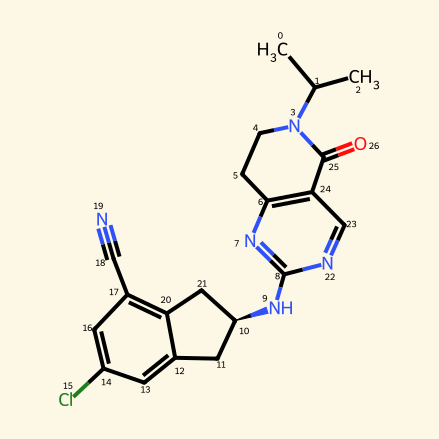 CC(C)N1CCc2nc(N[C@H]3Cc4cc(Cl)cc(C#N)c4C3)ncc2C1=O